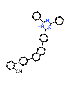 N#Cc1ccccc1-c1ccc(-c2ccc3ccc(-c4ccc(C5N=C(c6ccccc6)N=C(c6ccccc6)N5)cc4)cc3c2)cc1